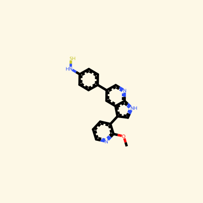 COc1ncccc1-c1c[nH]c2ncc(-c3ccc(NS)cc3)cc12